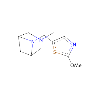 COc1ncc(CN2C3CC2CN(C)C3)s1